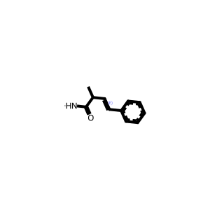 CC(/C=C/c1ccccc1)C([NH])=O